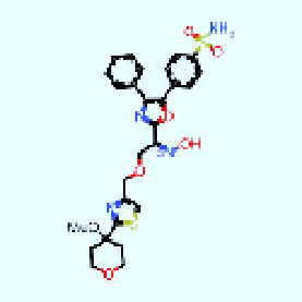 COC1(c2nc(COC/C(=N/O)c3nc(-c4ccccc4)c(-c4ccc(S(N)(=O)=O)cc4)o3)cs2)CCOCC1